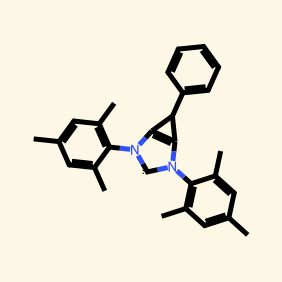 Cc1cc(C)c(N2[C]N(c3c(C)cc(C)cc3C)C3=C2C3c2ccccc2)c(C)c1